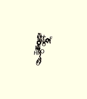 CN1CCN(c2ccc(-n3cc(C(=O)NCCCN4CCOCC4)nn3)cc2NC(=O)c2cnc(F)cc2C(F)(F)F)CC1